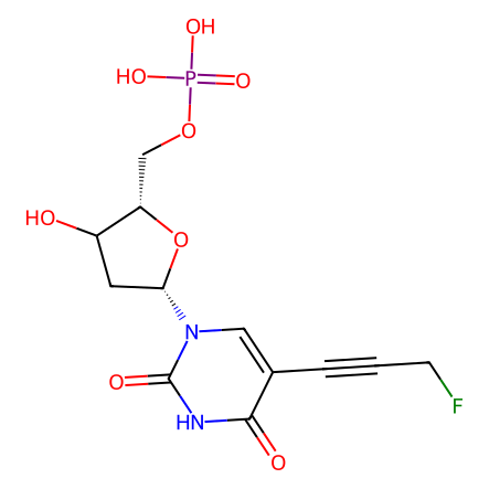 O=c1[nH]c(=O)n([C@@H]2CC(O)[C@H](COP(=O)(O)O)O2)cc1C#CCF